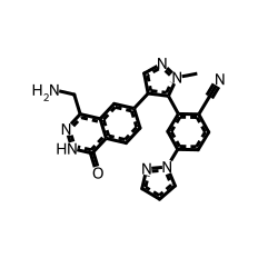 Cn1ncc(-c2ccc3c(=O)[nH]nc(CN)c3c2)c1-c1cc(-n2cccn2)ccc1C#N